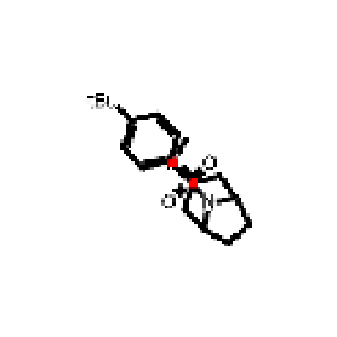 CN=C1CC2CCC(C1)N2S(=O)(=O)c1ccc(C(C)(C)C)cc1